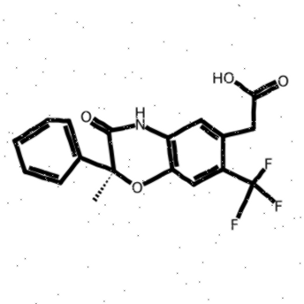 C[C@@]1(c2ccccc2)Oc2cc(C(F)(F)F)c(CC(=O)O)cc2NC1=O